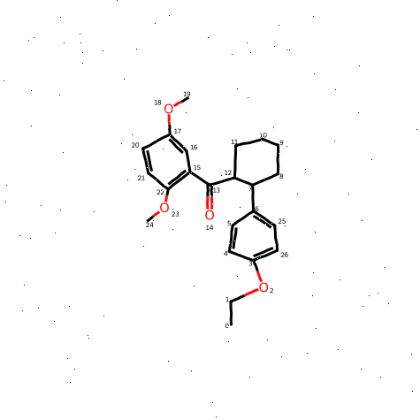 CCOc1ccc(C2CCCCC2C(=O)c2cc(OC)ccc2OC)cc1